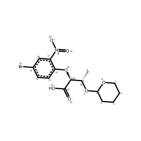 C[C@H](OC1CCCCO1)[C@H](Oc1ccc(Br)cc1[N+](=O)[O-])C(=O)O